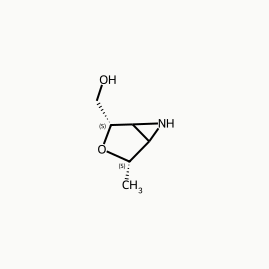 C[C@@H]1O[C@H](CO)C2NC21